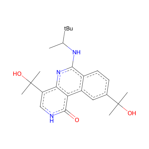 CC(Nc1nc2c(C(C)(C)O)c[nH]c(=O)c2c2cc(C(C)(C)O)ccc12)C(C)(C)C